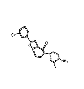 Cc1cc(-n2ccc3oc(-c4cccc(Cl)c4)cc3c2=O)ccc1N